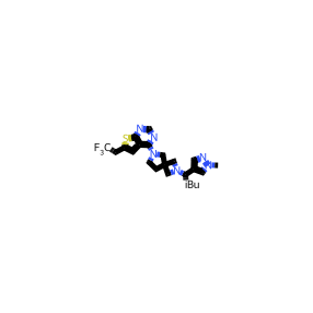 CCC(C)C(c1cnn(C)c1)N1CC2(CCN(c3ncnc4sc(CC(F)(F)F)cc34)C2)C1